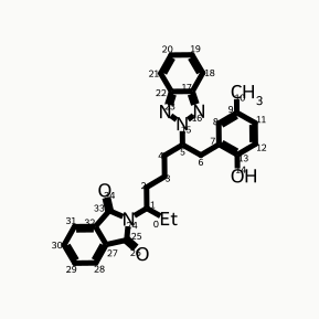 CCC(CCCC(Cc1cc(C)ccc1O)n1nc2ccccc2n1)N1C(=O)c2ccccc2C1=O